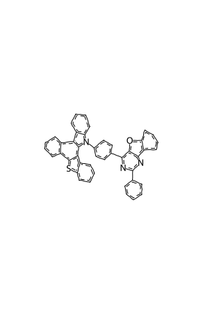 c1ccc(-c2nc(-c3ccc(-n4c5ccccc5c5c6ccccc6c6sc7ccccc7c6c54)cc3)c3oc4ccccc4c3n2)cc1